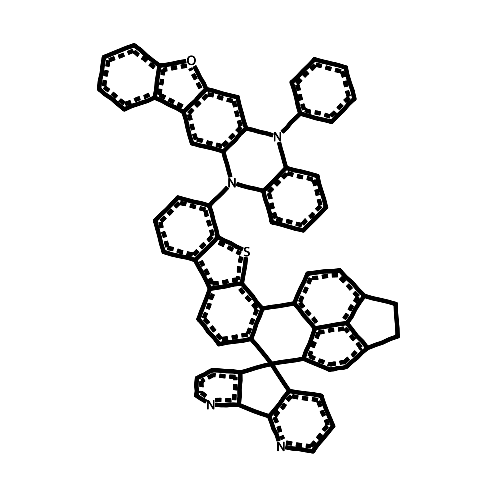 c1ccc(N2c3ccccc3N(c3cccc4c3sc3c5c(ccc34)C3(c4cccnc4-c4ncccc43)c3ccc4c6c(ccc-5c36)CC4)c3cc4c(cc32)oc2ccccc24)cc1